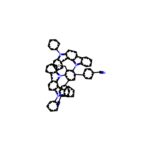 CCc1c(-n2c3ccccc3c3ccc4c(c5ccccc5n4-c4ccccc4)c32)c(-c2ccc(C#N)cc2)cc(-c2ccc(C#N)cc2)c1-n1c2ccccc2c2ccc3c(c4ccccc4n3-c3ccccc3)c21